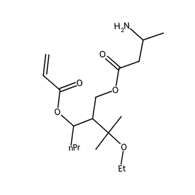 C=CC(=O)OC(CCC)C(COC(=O)CC(C)N)C(C)(C)OCC